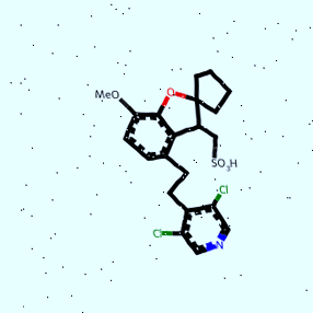 COc1ccc(CCc2c(Cl)cncc2Cl)c2c1OC1(CCCC1)C2CS(=O)(=O)O